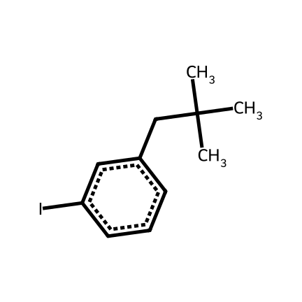 CC(C)(C)Cc1cccc(I)c1